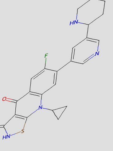 O=c1[nH]sc2c1c(=O)c1cc(F)c(-c3cncc(C4CCCCN4)c3)cc1n2C1CC1